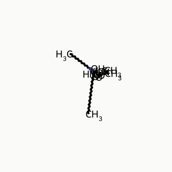 CCCCCCCCCCCCC/C=C/[C@@H](O)[C@H](COP(=O)([O-])OCC[N+](C)(C)C)NC(=O)CCCCCCCCCCCCCCCCCCCC